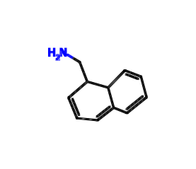 NCC1C=CC=C2C=CC=CC21